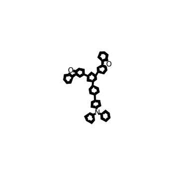 c1ccc(N(c2ccccc2)c2ccc(-c3ccc(-c4cc(-c5ccc6oc7ccccc7c6c5)cc(-c5ccc6oc7ccccc7c6c5)c4)cc3)cc2)cc1